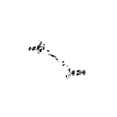 O=C(O)CCCCCCCCCCOP(=O)(O)O